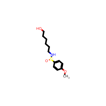 COc1ccc([S+]([O-])NCCCCCCO)cc1